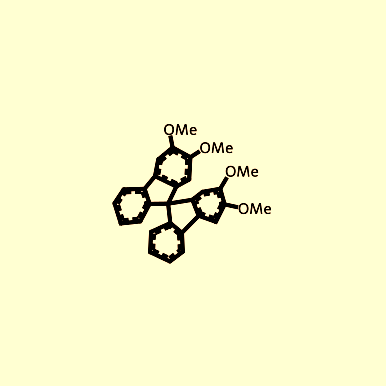 COc1cc2c(cc1OC)C1(c3ccccc3-2)c2ccccc2-c2cc(OC)c(OC)cc21